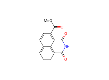 COC(=O)c1ccc2cccc3c2c1C(=O)NC3=O